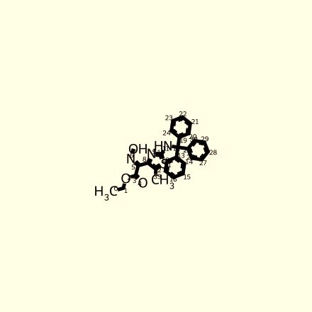 CCOC(=O)/C(=N/O)c1nc(NC(c2ccccc2)(c2ccccc2)c2ccccc2)sc1C